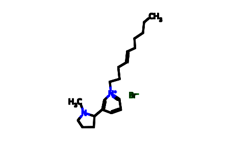 CCCCCC=CCCC[n+]1cccc(C2CCCN2C)c1.[Br-]